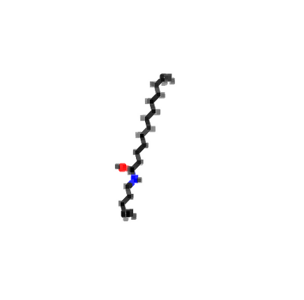 CCCC=NC(=O)CCCCCCCCCCC